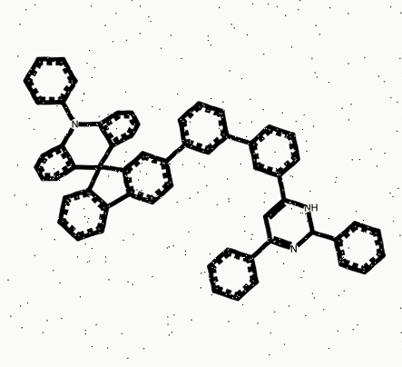 C1=C(c2cccc(-c3cccc(-c4ccc5c(c4)C4(c6ccccc6-5)c5ccccc5N(c5ccccc5)c5ccccc54)c3)c2)NC(c2ccccc2)N=C1c1ccccc1